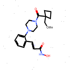 COCC1(C(=O)N2CCN(c3ccccc3/C=C/C(=O)NO)CC2)CCC1